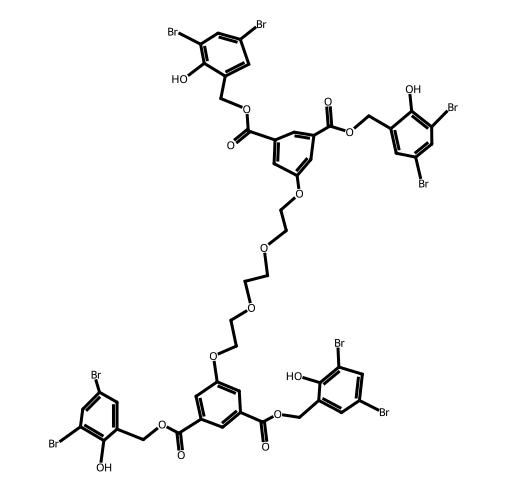 O=C(OCc1cc(Br)cc(Br)c1O)c1cc(OCCOCCOCCOc2cc(C(=O)OCc3cc(Br)cc(Br)c3O)cc(C(=O)OCc3cc(Br)cc(Br)c3O)c2)cc(C(=O)OCc2cc(Br)cc(Br)c2O)c1